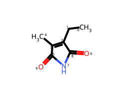 CCC1=C(C)C(=O)NC1=O